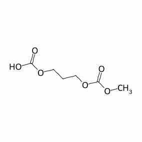 COC(=O)OCCCOC(=O)O